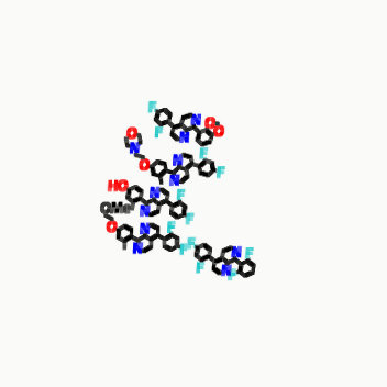 COCCOc1ccc(-c2nccc3c(-c4ccc(F)cc4F)ccnc23)c(C)c1.Cc1cc(O)ccc1-c1nccc2c(-c3ccc(F)cc3F)ccnc12.Cc1cc(OCCN2CCOCC2)ccc1-c1nccc2c(-c3ccc(F)cc3F)ccnc12.Fc1ccc(-c2ccnc3c(-c4c(F)cccc4F)nccc23)c(F)c1.Fc1ccc(-c2ccnc3c(-c4cccc5c4OCO5)nccc23)c(F)c1